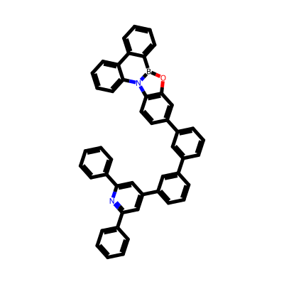 c1ccc(-c2cc(-c3cccc(-c4cccc(-c5ccc6c(c5)OB5c7ccccc7-c7ccccc7N56)c4)c3)cc(-c3ccccc3)n2)cc1